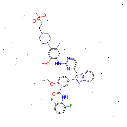 CCOc1ccc(-c2nc3ccccn3c2-c2ccnc(Nc3cc(C)c(N4CCN(CCS(C)(=O)=O)CC4)cc3OC)n2)cc1C(=O)Nc1c(F)cccc1F